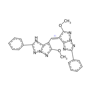 COc1nn2nc(-c3ccccc3)[nH]c2c1/C=c1/c(OC)nn2nc(-c3ccccc3)nc12